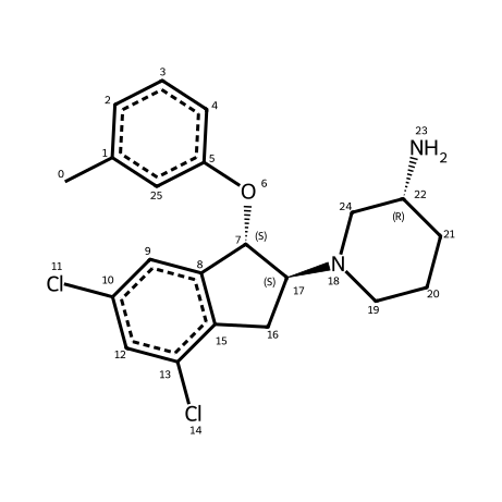 Cc1cccc(O[C@H]2c3cc(Cl)cc(Cl)c3C[C@@H]2N2CCC[C@@H](N)C2)c1